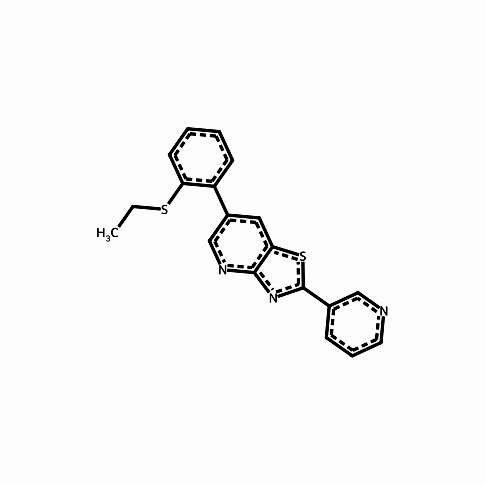 CCSc1ccccc1-c1cnc2nc(-c3cccnc3)sc2c1